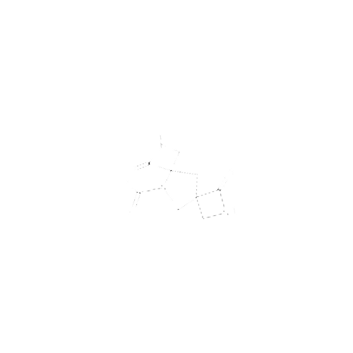 CC(=O)N1CC2(CNC2=O)CC12CNC2=O